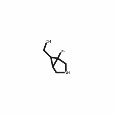 CC(C)C12CNCC1C2CO